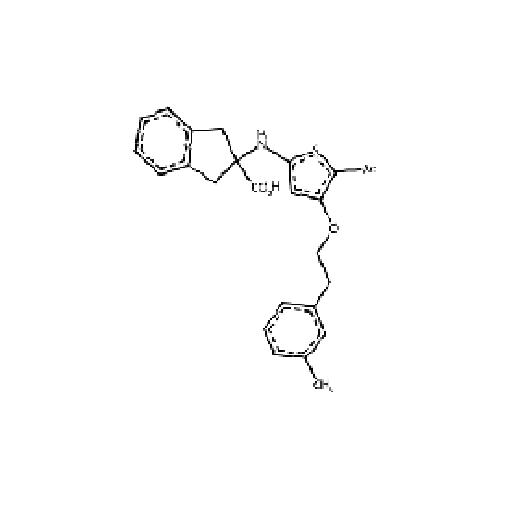 CC(=O)c1sc(NC2(C(=O)O)Cc3ccccc3C2)cc1OCCc1cccc(C)c1